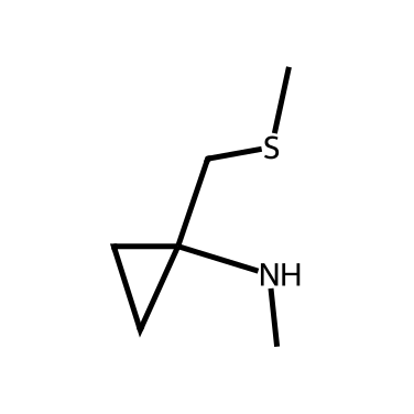 CNC1(CSC)CC1